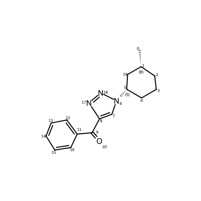 C[C@@H]1CCC[C@H](n2cc(C(=O)c3ccccc3)nn2)C1